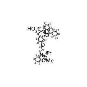 COc1ccccc1N(CCCOc1ccc(CC(Nc2ccccc2C(=O)c2ccccc2)C(=O)O)cc1)C(=O)C(C)C